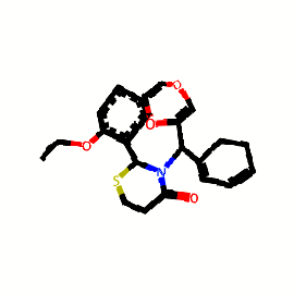 CCOc1ccccc1C1SCCC(=O)N1C(C1=CC=CCC1)C1=COC=CO1